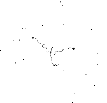 CCCCCCCCCCCCOP(=O)(OCCCCCC(C)C)OCCCCCC(C)C